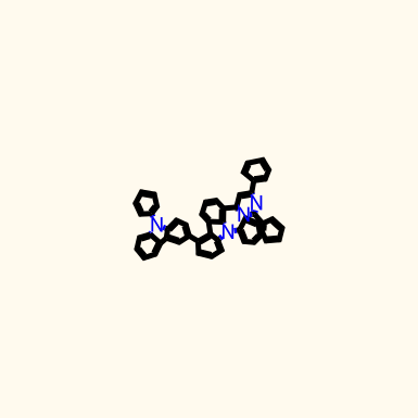 c1ccc(-c2cc(-c3cccc4c5c(-c6ccc7c(c6)c6ccccc6n7-c6ccccc6)cccc5n(-c5ccccc5)c34)nc(-c3ccccc3)n2)cc1